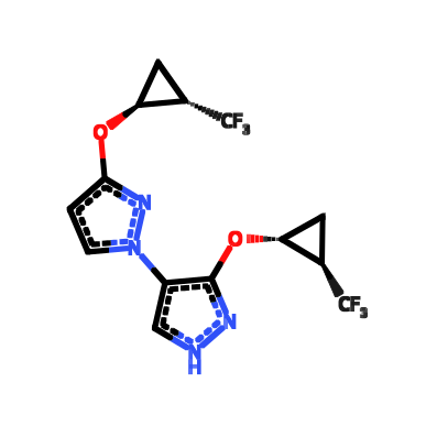 FC(F)(F)[C@@H]1C[C@H]1Oc1n[nH]cc1-n1ccc(O[C@H]2C[C@@H]2C(F)(F)F)n1